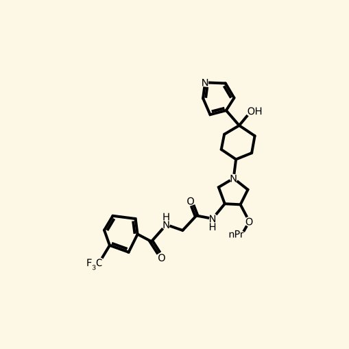 CCCOC1CN(C2CCC(O)(c3ccncc3)CC2)CC1NC(=O)CNC(=O)c1cccc(C(F)(F)F)c1